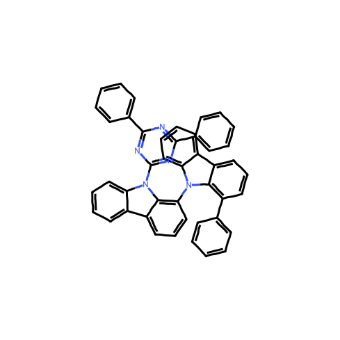 c1ccc(-c2nc(-c3ccccc3)nc(-n3c4ccccc4c4cccc(-n5c6ccccc6c6cccc(-c7ccccc7)c65)c43)n2)cc1